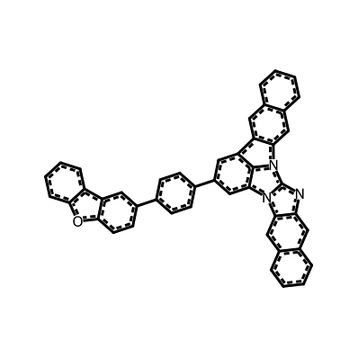 c1ccc2cc3c(cc2c1)nc1n3c2cc(-c3ccc(-c4ccc5oc6ccccc6c5c4)cc3)cc3c4cc5ccccc5cc4n1c32